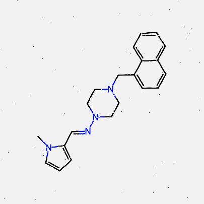 Cn1cccc1C=NN1CCN(Cc2cccc3ccccc23)CC1